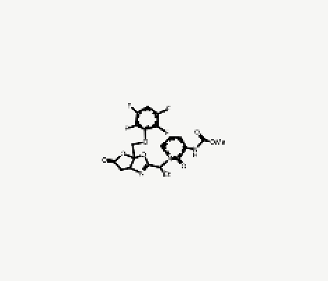 CCC(C1=NC2CC(=O)OC2(COc2c(F)c(F)cc(F)c2F)O1)n1cccc(NC(=O)OC)c1=O